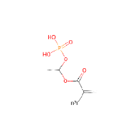 C=C(CCC)C(=O)OC(C)OP(=O)(O)O